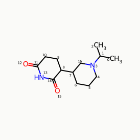 CC(C)N1CCCC(C2CCC(=O)NC2=O)C1